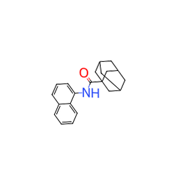 O=C(Nc1cccc2ccccc12)C12CC3CC(CC(C3)C1)C2